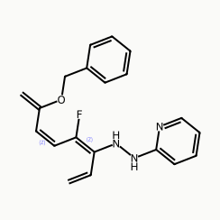 C=C/C(NNc1ccccn1)=C(F)\C=C/C(=C)OCc1ccccc1